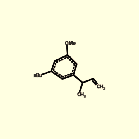 C=C[C](C)c1cc(CCCC)cc(OC)c1